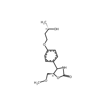 COC[C@@H]1OC(=O)NC1c1ccc(OCC[C@H](C)O)cc1